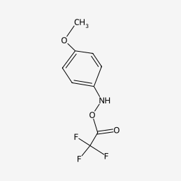 COc1ccc(NOC(=O)C(F)(F)F)cc1